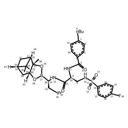 CCCCc1ccc(C(=O)N[C@@H](CNS(=O)(=O)c2ccc(F)cc2)C(=O)N[C@@H](CC(C)C)B2O[C@@H]3C[C@@H]4C[C@@H](C4(C)C)[C@]3(C)O2)cc1